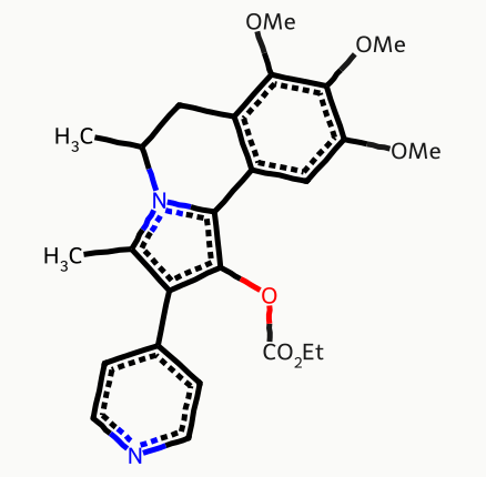 CCOC(=O)Oc1c(-c2ccncc2)c(C)n2c1-c1cc(OC)c(OC)c(OC)c1CC2C